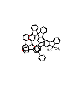 CC1(C)c2ccccc2-c2ccc(-c3cccc(N(c4ccc5c(c4)C4(c6ccccc6-c6ccc(-c7cc(-c8ccccc8)cc(-c8ccccc8)c7)cc64)c4ccccc4-5)c4ccccc4-c4ccccc4)c3)cc21